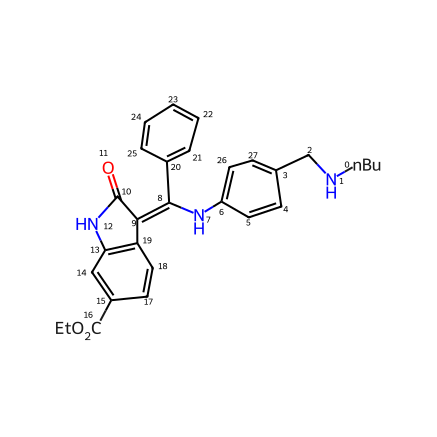 CCCCNCc1ccc(NC(=C2C(=O)Nc3cc(C(=O)OCC)ccc32)c2ccccc2)cc1